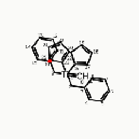 [CH2]=[Ti]([CH2]c1ccccc1)([CH2]c1ccccc1)([C]1=CC=CC1)[C]1=CC=CC1